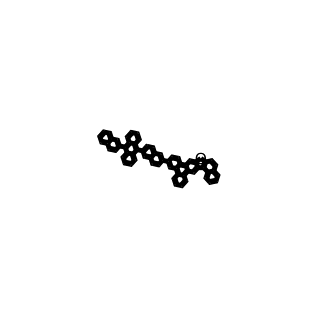 c1ccc2cc(-c3c4ccccc4c(-c4ccc5cc(-c6ccc7c(c6)c6ccccc6c6cc8c(cc76)oc6ccc7ccccc7c68)ccc5c4)c4ccccc34)ccc2c1